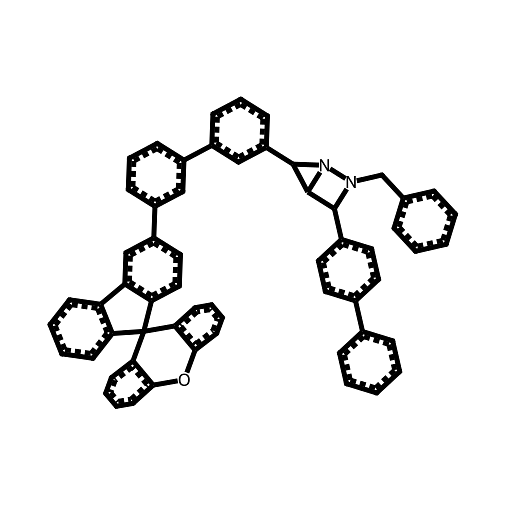 c1ccc(CN2C(c3ccc(-c4ccccc4)cc3)C3C(c4cccc(-c5cccc(-c6ccc7c(c6)-c6ccccc6C76c7ccccc7Oc7ccccc76)c5)c4)N32)cc1